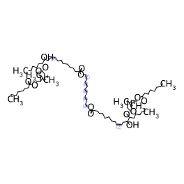 CCCCCCCC(=O)OCC[N+](C)(C)CC(=O)OC(CCCCC)C(O)C/C=C\CCCCCCCC(=O)O\C=C/C=C/C=C/C=C/C=C\OC(=O)CCCCCCC/C=C\CC(O)C(CCCCC)OC(=O)C[N+](C)(C)CCOC(=O)CCCCCCC